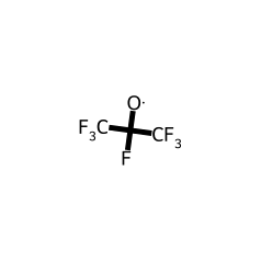 [O]C(F)(C(F)(F)F)C(F)(F)F